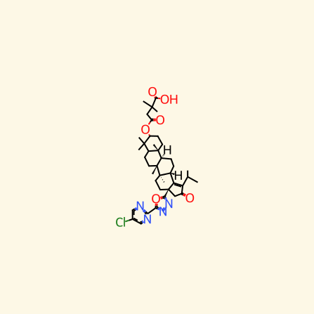 CC(C)C1=C2[C@H]3CC[C@@H]4[C@@]5(C)CC[C@H](OC(=O)CC(C)(C)C(=O)O)C(C)(C)C5CC[C@@]4(C)[C@]3(C)CC[C@@]2(c2nnc(-c3ncc(Cl)cn3)o2)CC1=O